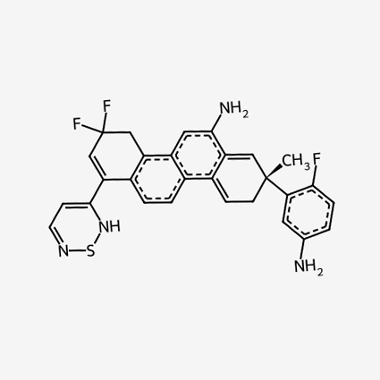 C[C@]1(c2cc(N)ccc2F)C=c2c(N)cc3c4c(ccc3c2=CC1)C(C1=CC=NSN1)=CC(F)(F)C4